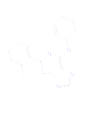 Cn1cnc2c(Nc3c(F)cccc3F)nc(-c3ccccc3Cl)nc21